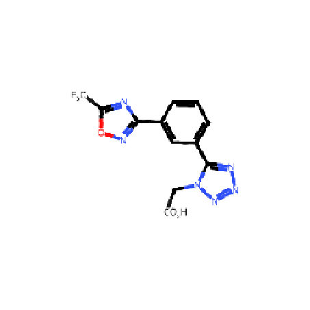 O=C(O)Cn1nnnc1-c1cccc(-c2noc(C(F)(F)F)n2)c1